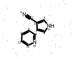 N#Cc1cc[nH]c1.c1ccncc1